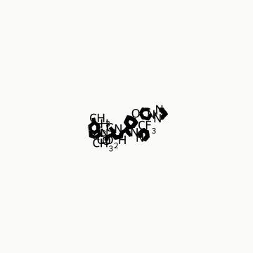 CC1CC2CC(C)C(NC(=O)c3ccc(-c4cn(-c5ncccc5C(F)(F)F)c5cc(OC6CCN(c7ncccn7)CC6)ccc45)nc3C(F)(F)F)(C(=O)O)C(C1)C2